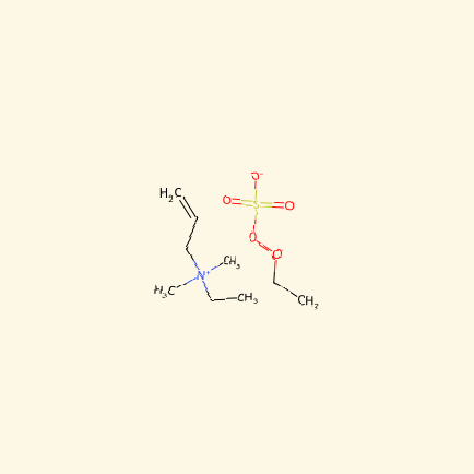 C=CC[N+](C)(C)CC.CCOOS(=O)(=O)[O-]